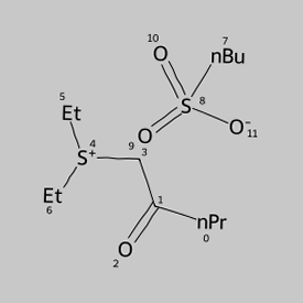 CCCC(=O)C[S+](CC)CC.CCCCS(=O)(=O)[O-]